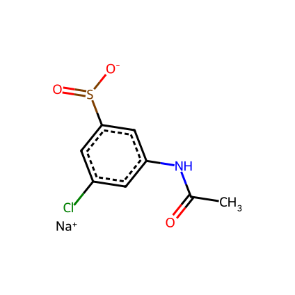 CC(=O)Nc1cc(Cl)cc(S(=O)[O-])c1.[Na+]